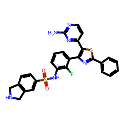 Nc1nccc(-c2sc(-c3ccccc3)nc2-c2cccc(NS(=O)(=O)c3ccc4c(c3)CNC4)c2F)n1